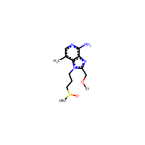 CCCC[S+]([O-])CCCn1c(COCC)nc2c(N)ncc(C)c21